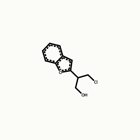 OCC(CCl)c1cc2ccccc2o1